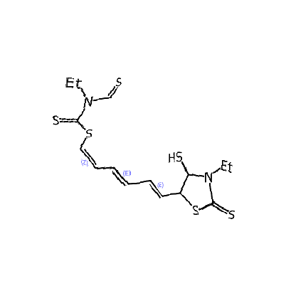 CCN(C=S)C(=S)S\C=C/C=C/C=C/C1SC(=S)N(CC)C1S